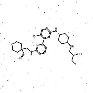 N=CC1(CNc2cccc(-c3cc(N[C@H]4CC[C@H](NCC(O)CF)CC4)ncc3Cl)n2)CCOCC1